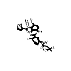 CC(Cl)(Cl)CC(=O)Nc1ccc(Cl)c(C(=O)Nc2ccc(F)c(NC(=O)c3ccon3)c2F)c1